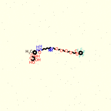 Cc1cc(NC(=O)NCCCCc2cn(CCOCCOCCOCCOCCC(=O)Oc3c(F)c(F)c(F)c(F)c3F)nn2)ccc1O[C@H]1OC[C@H](O)[C@H](O)[C@@H]1O